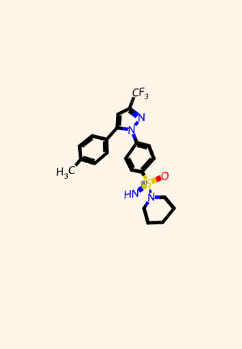 Cc1ccc(-c2cc(C(F)(F)F)nn2-c2ccc([S@@](=N)(=O)N3CCCCC3)cc2)cc1